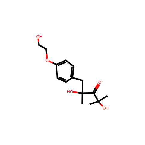 CC(C)(O)C(=O)C(C)(O)Cc1ccc(OCCO)cc1